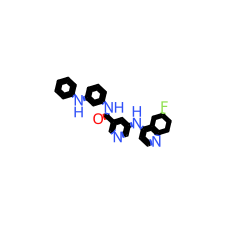 O=C(Nc1cccc(Nc2ccccc2)c1)c1cncc(Nc2ccnc3c2CC(F)CC3)c1